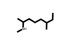 CCC(C)CCCC(C)NC